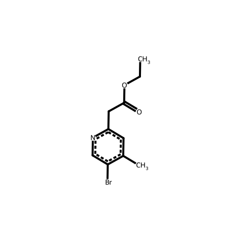 CCOC(=O)Cc1cc(C)c(Br)cn1